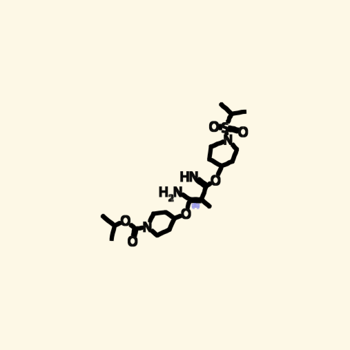 C/C(C(=N)OC1CCN(S(=O)(=O)C(C)C)CC1)=C(/N)OC1CCN(C(=O)OC(C)C)CC1